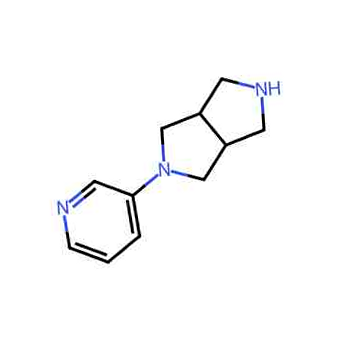 c1cncc(N2CC3CNCC3C2)c1